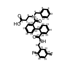 O=C(O)CCN(Cc1ccccc1)C(=O)c1ccccc1-c1ccccc1C(=O)NCc1cc(F)ccc1F